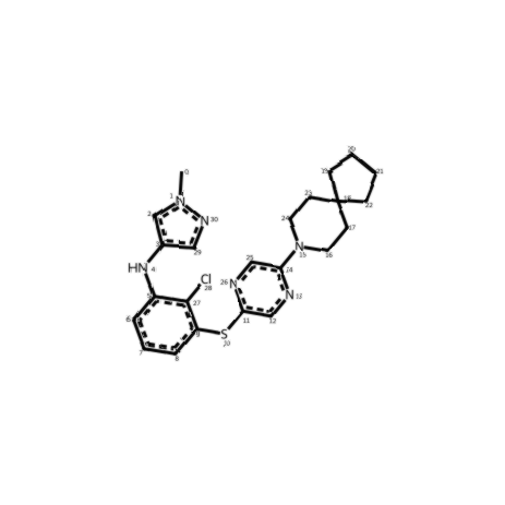 Cn1cc(Nc2cccc(Sc3cnc(N4CCC5(CCCC5)CC4)cn3)c2Cl)cn1